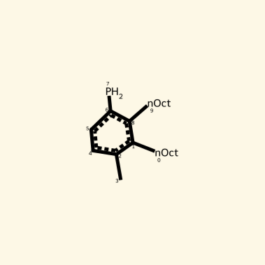 CCCCCCCCc1c(C)ccc(P)c1CCCCCCCC